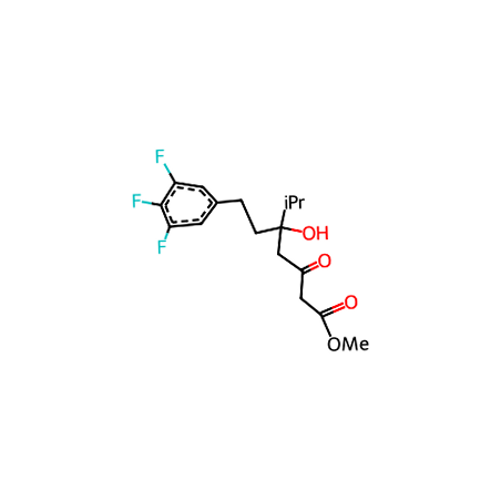 COC(=O)CC(=O)CC(O)(CCc1cc(F)c(F)c(F)c1)C(C)C